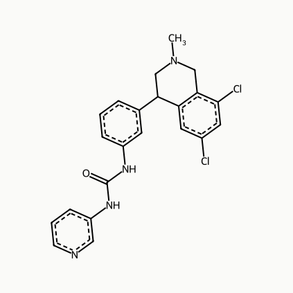 CN1Cc2c(Cl)cc(Cl)cc2C(c2cccc(NC(=O)Nc3cccnc3)c2)C1